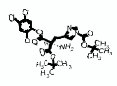 CC(C)(C)OC(=O)n1cnc(C[C@](N)(C(=O)Oc2cc(Cl)c(Cl)cc2Cl)C(=O)OC(C)(C)C)c1